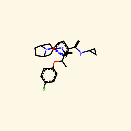 C=C(NC1CC1)c1ccc(N2C3CCC2CC(NC(=C)C(C)Oc2ccc(Cl)cc2)C3)nc1